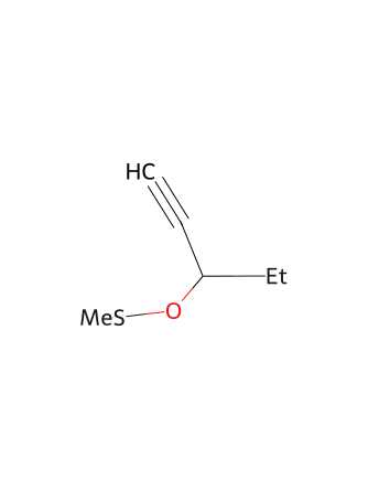 C#CC(CC)OSC